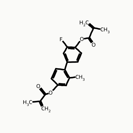 C=C(C)C(=O)Oc1ccc(-c2ccc(OC(=O)C(=C)C)c(F)c2)c(C)c1